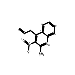 C=CCc1c([N+](=O)[O-])c(N)nc2ccccc12